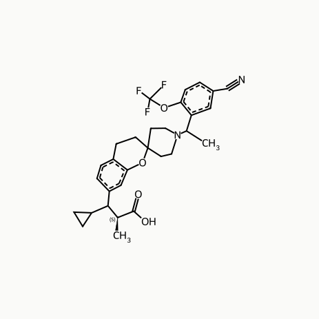 CC(c1cc(C#N)ccc1OC(F)(F)F)N1CCC2(CCc3ccc(C(C4CC4)[C@H](C)C(=O)O)cc3O2)CC1